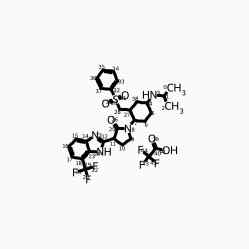 CC(C)NC1CCC(N2CCC(c3nc4cccc(C(F)(F)F)c4[nH]3)C2=O)C(CS(=O)(=O)c2ccccc2)C1.O=C(O)C(F)(F)F